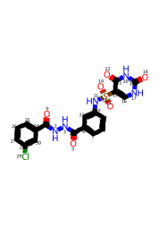 O=C(NNC(=O)c1cccc(NS(=O)(=O)c2c[nH]c(=O)[nH]c2=O)c1)c1cccc(Cl)c1